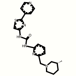 C[C@@H]1CCCN(Cc2cccc(NC(=O)Nc3csc(-c4ccncc4)n3)n2)C1